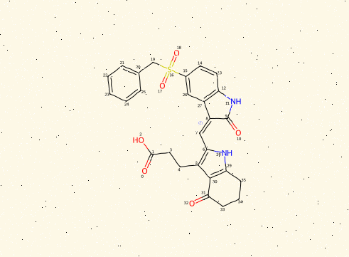 O=C(O)CCc1c(/C=C2\C(=O)Nc3ccc(S(=O)(=O)Cc4ccccc4)cc32)[nH]c2c1C(=O)CCC2